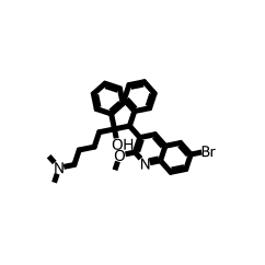 COc1nc2ccc(Br)cc2cc1C(c1ccccc1)C(O)(CCCCN(C)C)c1ccccc1